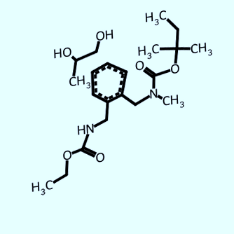 CC(O)CO.CCOC(=O)NCc1ccccc1CN(C)C(=O)OC(C)(C)CC